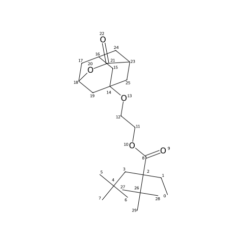 CCC(CC(C)(C)C)(C(=O)OCCOC12CC3CC(C1)OC(=O)C(C3)C2)C(C)(C)C